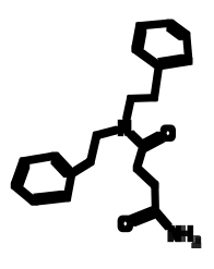 NC(=O)CCC(=O)N(CCc1ccccc1)CCc1ccccc1